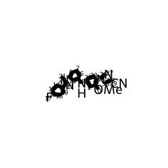 COc1cc(Nc2cccc3c2nc(-c2ccc(F)cc2)n3C)ccc1-n1cnc(C#N)c1